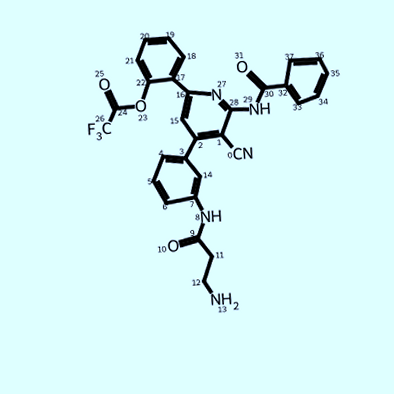 N#Cc1c(-c2cccc(NC(=O)CCN)c2)cc(-c2ccccc2OC(=O)C(F)(F)F)nc1NC(=O)c1ccccc1